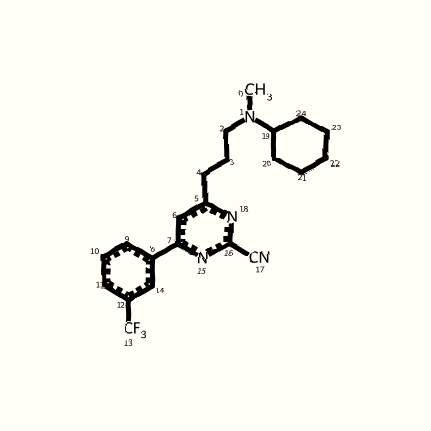 CN(CCCc1cc(-c2cccc(C(F)(F)F)c2)nc(C#N)n1)C1CCCCC1